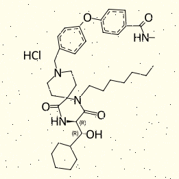 CCCCCCCN1C(=O)[C@@H]([C@H](O)C2CCCCC2)NC(=O)C12CCN(Cc1ccc(Oc3ccc(C(=O)NC)cc3)cc1)CC2.Cl